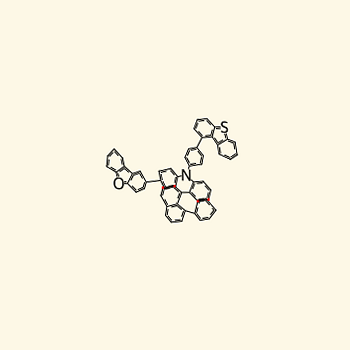 c1ccc(-c2cccc3cccc(-c4ccccc4N(c4ccc(-c5ccc6oc7ccccc7c6c5)cc4)c4ccc(-c5cccc6sc7ccccc7c56)cc4)c23)cc1